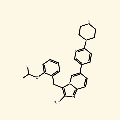 Cc1nc2ccc(-c3ccc(N4CCNCC4)nc3)cn2c1Cc1ccccc1OC(F)F